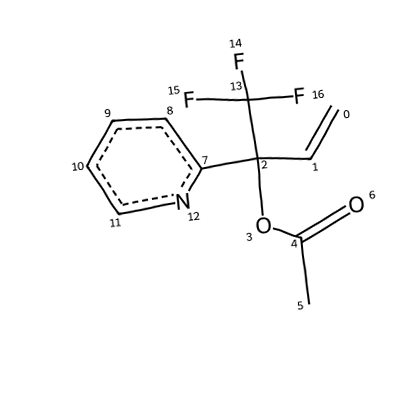 C=CC(OC(C)=O)(c1ccccn1)C(F)(F)F